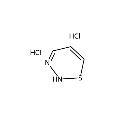 C1=CSNN=C1.Cl.Cl